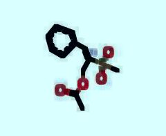 CC(=O)OC/C(=C\c1ccccc1)S(C)(=O)=O